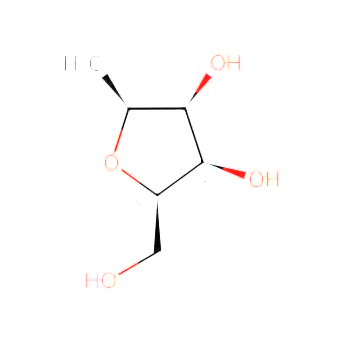 C[C@@H]1O[C@H](CO)[C@H](O)[C@@H]1O